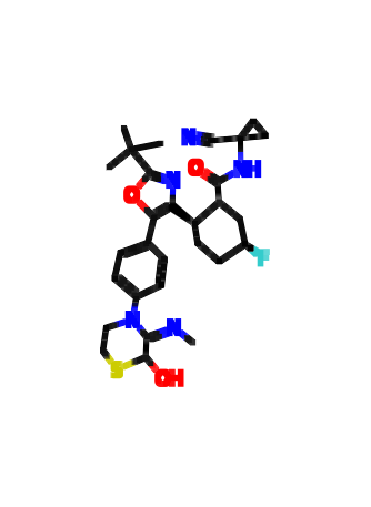 CN=C1C(O)SCCN1c1ccc(-c2oc(C(C)(C)C)nc2[C@@H]2CC[C@H](F)CC2C(=O)NC2(C#N)CC2)cc1